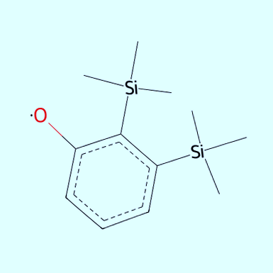 C[Si](C)(C)c1cccc([O])c1[Si](C)(C)C